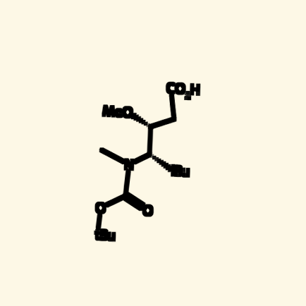 CCC(C)[C@@H]([C@@H](CC(=O)O)OC)N(C)C(=O)OC(C)(C)C